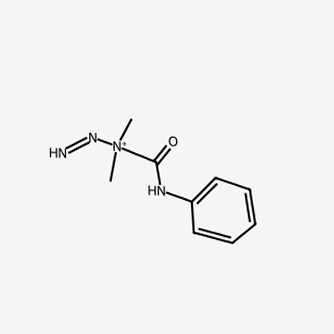 C[N+](C)(N=N)C(=O)Nc1ccccc1